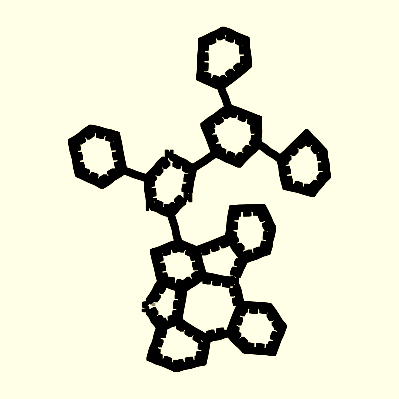 c1ccc(-c2cc(-c3ccccc3)cc(-c3nc(-c4ccccc4)nc(-c4cc5sc6cccc7c8ccccc8n8c9ccccc9c4c8c5c67)n3)c2)cc1